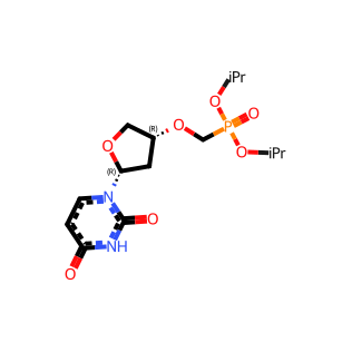 CC(C)OP(=O)(CO[C@H]1CO[C@@H](n2ccc(=O)[nH]c2=O)C1)OC(C)C